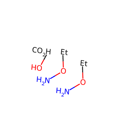 CCON.CCON.O=C(O)O